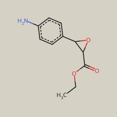 CCOC(=O)C1OC1c1ccc(N)cc1